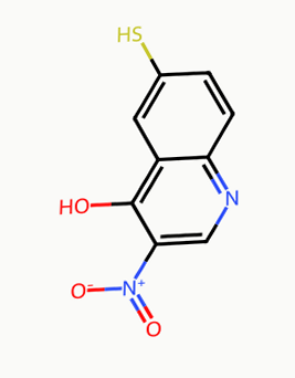 O=[N+]([O-])c1cnc2ccc(S)cc2c1O